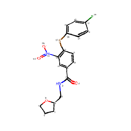 O=C(NC[C@H]1CCCO1)c1ccc(Sc2ccc(F)cc2)c([N+](=O)[O-])c1